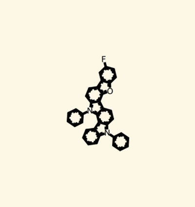 Fc1ccc2oc3c(ccc4c3c3ccc5c(c6ccccc6n5-c5ccccc5)c3n4-c3ccccc3)c2c1